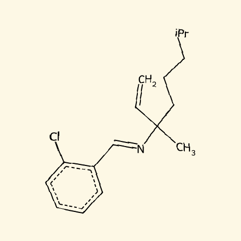 C=CC(C)(CCCC(C)C)N=Cc1ccccc1Cl